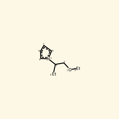 CCOCC(CC)n1cccc1